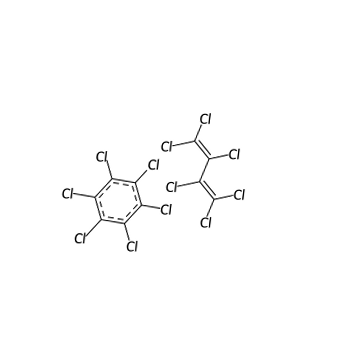 ClC(Cl)=C(Cl)C(Cl)=C(Cl)Cl.Clc1c(Cl)c(Cl)c(Cl)c(Cl)c1Cl